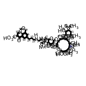 CC[C@H]1OC(=O)[C@H](C)[C@@H](O[C@H]2C[C@@](C)(OC)[C@@H](OS(=O)(=O)CCNCCCc3cc4c5c(c3)c(=O)c(C(=O)O)cn5COC4)[C@H](C)O2)[C@H](C)[C@H](O[C@H]2O[C@@H](C)C[C@H](N(C)C)[C@H]2O)[C@](C)(O)C[C@@H](C)/C(=N\O)[C@@H](C)[C@H](O)[C@@]1(C)O